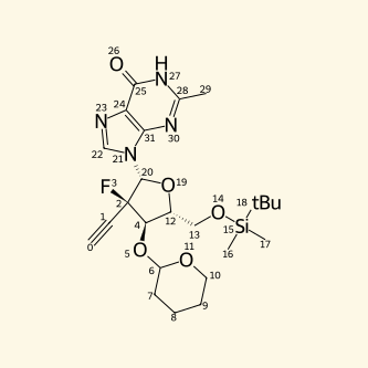 C#C[C@@]1(F)[C@H](OC2CCCCO2)[C@@H](CO[Si](C)(C)C(C)(C)C)O[C@H]1n1cnc2c(=O)[nH]c(C)nc21